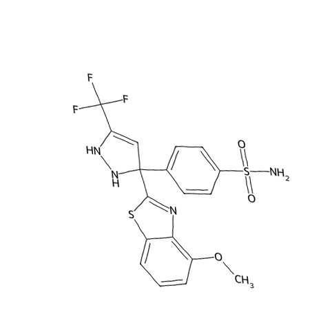 COc1cccc2sc(C3(c4ccc(S(N)(=O)=O)cc4)C=C(C(F)(F)F)NN3)nc12